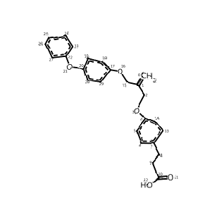 C=C(COc1ccc(CCC(=O)O)cc1)COc1ccc(Oc2ccccc2)cc1